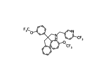 FC(F)(F)Oc1cccc(C(CNCc2ccc(C(F)(F)F)nc2)(Cc2ccccc2)c2cccc(OC(F)(F)F)c2)c1